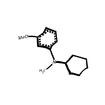 COc1cccc(N(C)C2CCCCC2)c1